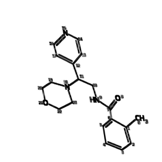 Cc1ccccc1C(=O)NCC(c1ccncc1)N1CCOCC1